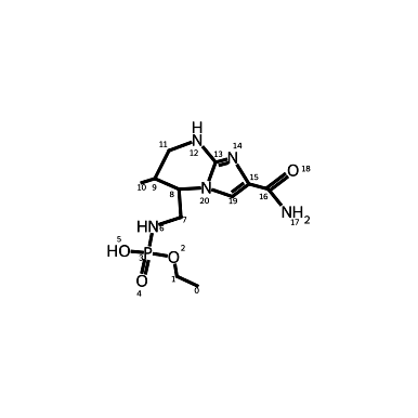 CCOP(=O)(O)NCC1C(C)CNc2nc(C(N)=O)cn21